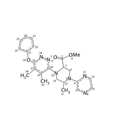 COC(=O)C1CN(c2cnccn2)C(C)CN1c1nnc(Oc2ccccc2)c(C)c1C